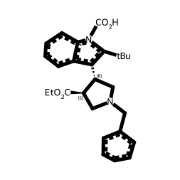 CCOC(=O)[C@@H]1CN(Cc2ccccc2)C[C@H]1c1c(C(C)(C)C)n(C(=O)O)c2ccccc12